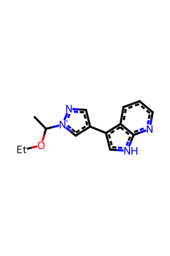 CCOC(C)n1cc(-c2c[nH]c3ncccc23)cn1